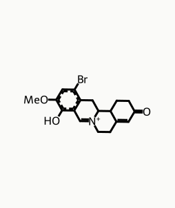 COc1cc(Br)c2c(c1O)C=[N+]1CCC3=CC(=O)CCC3C1C2